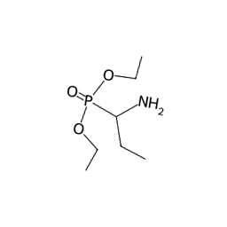 CCOP(=O)(OCC)C(N)CC